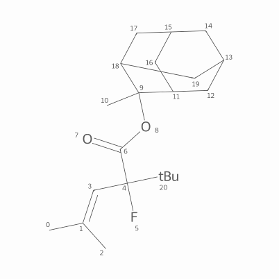 CC(C)=CC(F)(C(=O)OC1(C)C2CC3CC(C2)CC1C3)C(C)(C)C